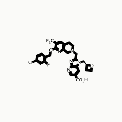 O=C(O)c1cnc2nc(CN3CCc4cc(C(F)(F)F)c(OCc5ccc(Cl)cc5F)nc4C3)n(C[C@@H]3CCO3)c2c1